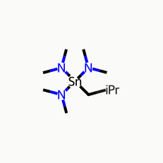 CC(C)[CH2][Sn]([N](C)C)([N](C)C)[N](C)C